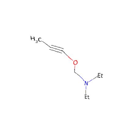 CC#COCN(CC)CC